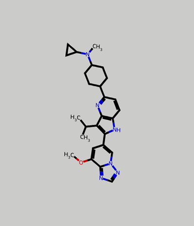 COc1cc(-c2[nH]c3ccc(C4CCC(N(C)C5CC5)CC4)nc3c2C(C)C)cn2ncnc12